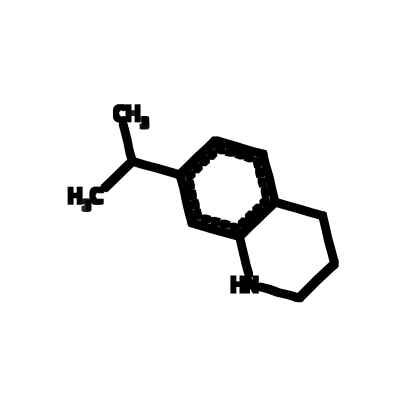 CC(C)c1ccc2c(c1)NCCC2